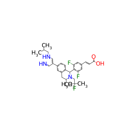 CC(C)CN/C=C(\C=N)c1ccc2c(c1)CC(C)N(CC(C)(C)F)C2c1c(F)cc(/C=C/C(=O)O)cc1F